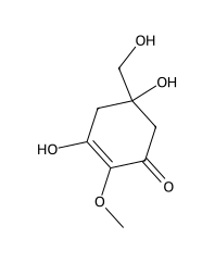 COC1=C(O)CC(O)(CO)CC1=O